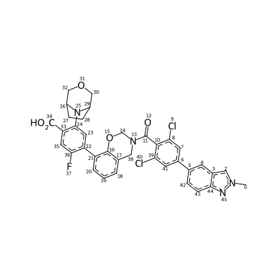 Cn1cc2cc(-c3cc(Cl)c(C(=O)N4COc5c(cccc5-c5cc(N6C7CCC6COC7)c(C(=O)O)cc5F)C4)c(Cl)c3)ccc2n1